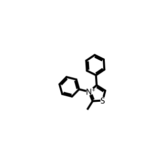 Cc1scc(-c2ccccc2)[n+]1-c1ccccc1